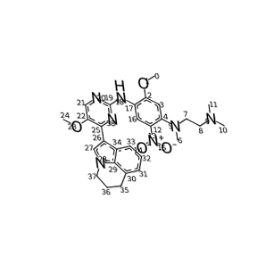 COc1cc(N(C)CCN(C)C)c([N+](=O)[O-])cc1Nc1ncc(OC)c(-c2cn3c4c(cccc24)CCC3)n1